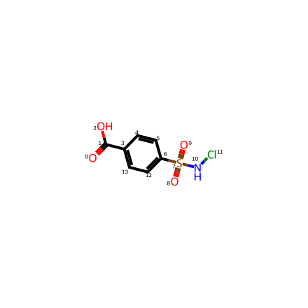 O=C(O)c1ccc(S(=O)(=O)NCl)cc1